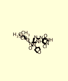 C[Si](C)(C)CCOCn1c(=O)n(C2CCOCC2)c2nc(Nc3cc(Cl)n[nH]c3=O)ncc21